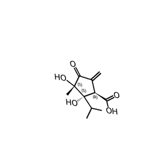 C=C1C(=O)[C@@](C)(O)[C@](O)(C(C)C)[C@@H]1C(=O)O